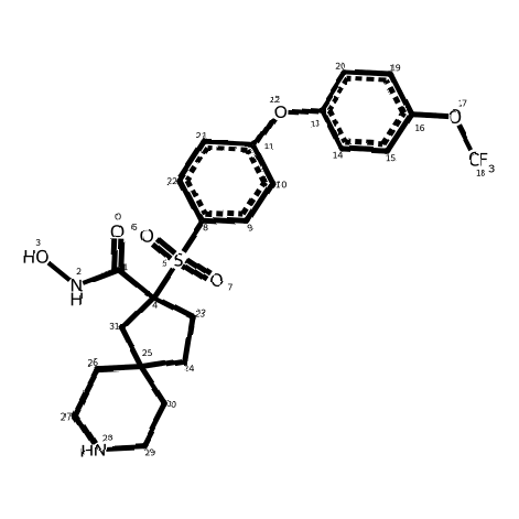 O=C(NO)C1(S(=O)(=O)c2ccc(Oc3ccc(OC(F)(F)F)cc3)cc2)CCC2(CCNCC2)C1